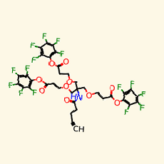 C#CCCC(=O)NC(COCCC(=O)Oc1c(F)c(F)c(F)c(F)c1F)(COCCC(=O)Oc1c(F)c(F)c(F)c(F)c1F)COCCC(=O)Oc1c(F)c(F)c(F)c(F)c1F